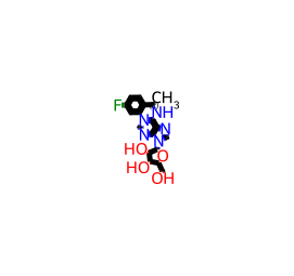 C[C@@H](Nc1ncnc2c1ncn2C1OC(CO)C(O)C1O)c1ccc(F)cc1